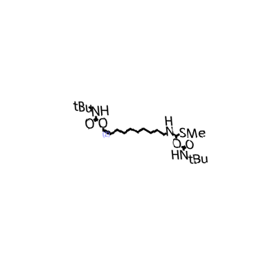 CSC(NCCCCCCCC/C=C\OC(=O)NC(C)(C)C)OC(=O)NC(C)(C)C